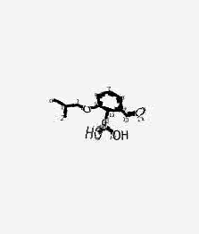 CC(C)COc1cccc(C=O)c1B(O)O